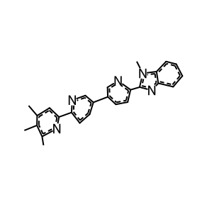 Cc1cc(-c2ccc(-c3ccc(-c4nc5ccccc5n4C)nc3)cn2)nc(C)c1C